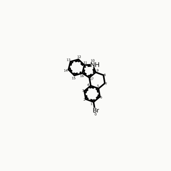 Brc1ccc2c(c1)CCc1[nH]c3ccccc3c1-2